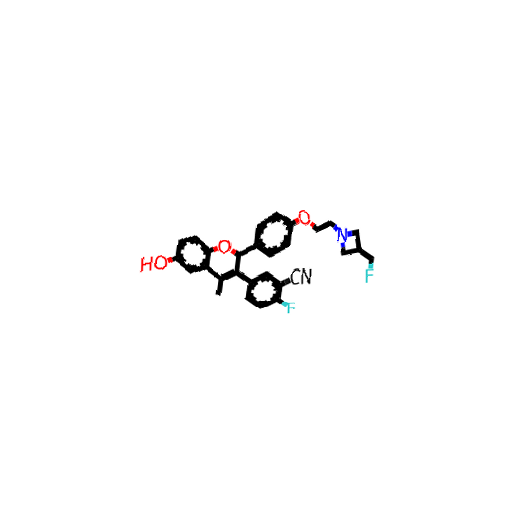 CC1=C(c2ccc(F)c(C#N)c2)C(c2ccc(OCCN3CC(CF)C3)cc2)Oc2ccc(O)cc21